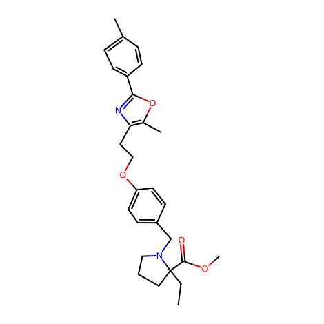 CCC1(C(=O)OC)CCCN1Cc1ccc(OCCc2nc(-c3ccc(C)cc3)oc2C)cc1